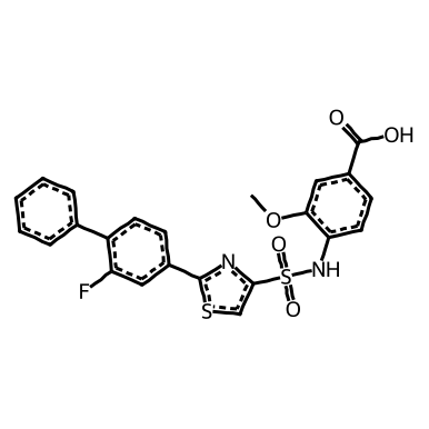 COc1cc(C(=O)O)ccc1NS(=O)(=O)c1csc(-c2ccc(-c3ccccc3)c(F)c2)n1